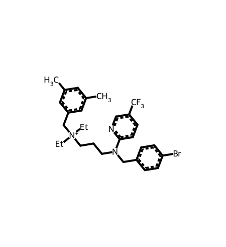 CC[N+](CC)(CCCN(Cc1ccc(Br)cc1)c1ccc(C(F)(F)F)cn1)Cc1cc(C)cc(C)c1